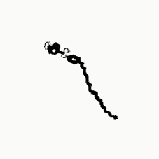 CCCCCCCCCCCCCCCCCCc1ccc(OC(=O)c2ccc(Cl)cc2)cc1